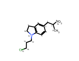 CC(Cc1ccc2c(c1)CCN2CCCCl)[N+](=O)[O-]